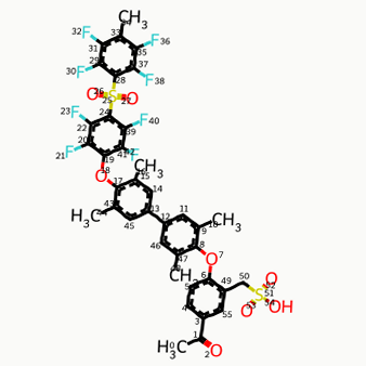 CC(=O)c1ccc(Oc2c(C)cc(-c3cc(C)c(Oc4c(F)c(F)c(S(=O)(=O)c5c(F)c(F)c(C)c(F)c5F)c(F)c4F)c(C)c3)cc2C)c(CS(=O)(=O)O)c1